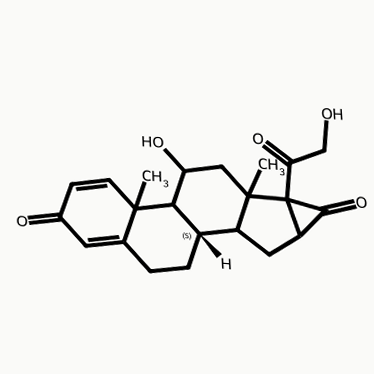 CC12C=CC(=O)C=C1CC[C@@H]1C2C(O)CC2(C)C1CC1C(=O)C12C(=O)CO